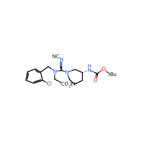 CCOC(=O)CN(Cc1ccccc1Cl)/C(=N\C#N)N1CCC[C@@H](NC(=O)OC(C)(C)C)C1